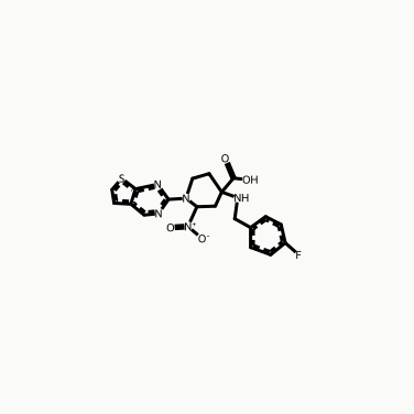 O=C(O)C1(NCc2ccc(F)cc2)CCN(c2ncc3ccsc3n2)C([N+](=O)[O-])C1